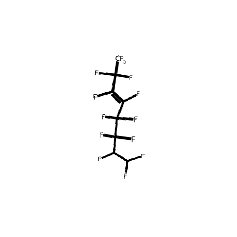 FC(=C(F)C(F)(F)C(F)(F)C(F)C(F)F)C(F)(F)C(F)(F)F